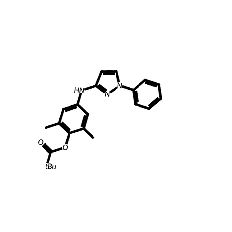 Cc1cc(Nc2ccn(-c3ccccc3)n2)cc(C)c1OC(=O)C(C)(C)C